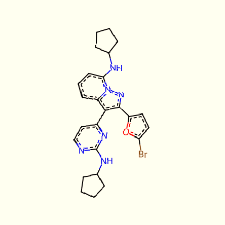 Brc1ccc(-c2nn3c(NC4CCCC4)cccc3c2-c2ccnc(NC3CCCC3)n2)o1